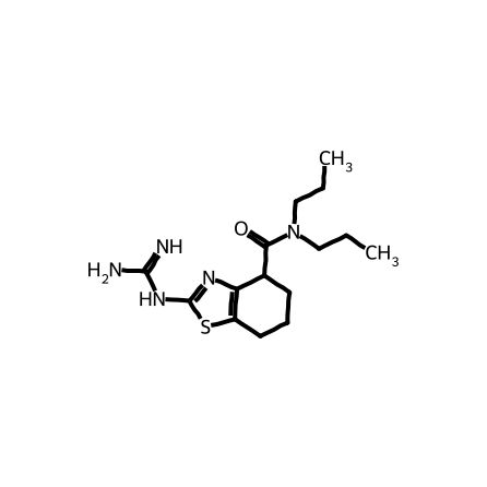 CCCN(CCC)C(=O)C1CCCc2sc(NC(=N)N)nc21